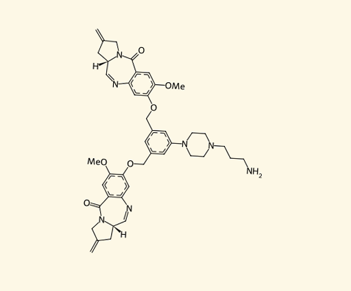 C=C1C[C@H]2C=Nc3cc(OCc4cc(COc5cc6c(cc5OC)C(=O)N5CC(=C)C[C@H]5C=N6)cc(N5CCN(CCCN)CC5)c4)c(OC)cc3C(=O)N2C1